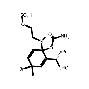 CCC[C@H](C=O)C1=CC(C)(Br)C=CC1(OC(N)=O)N(C)CCOS(=O)(=O)O